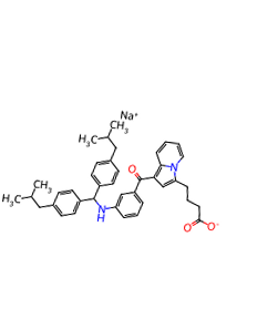 CC(C)Cc1ccc(C(Nc2cccc(C(=O)c3cc(CCCC(=O)[O-])n4ccccc34)c2)c2ccc(CC(C)C)cc2)cc1.[Na+]